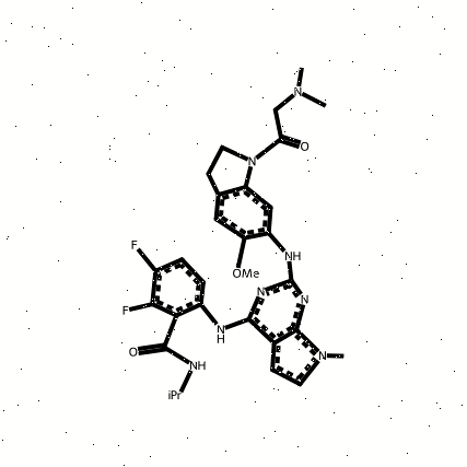 COc1cc2c(cc1Nc1nc(Nc3ccc(F)c(F)c3C(=O)NC(C)C)c3ccn(C)c3n1)N(C(=O)CN(C)C)CC2